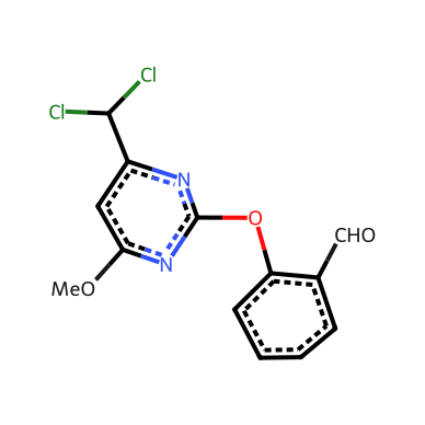 COc1cc(C(Cl)Cl)nc(Oc2ccccc2C=O)n1